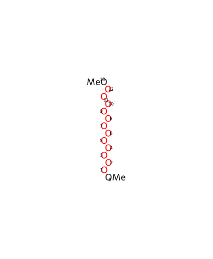 COOOOOOOOOOOOOOC